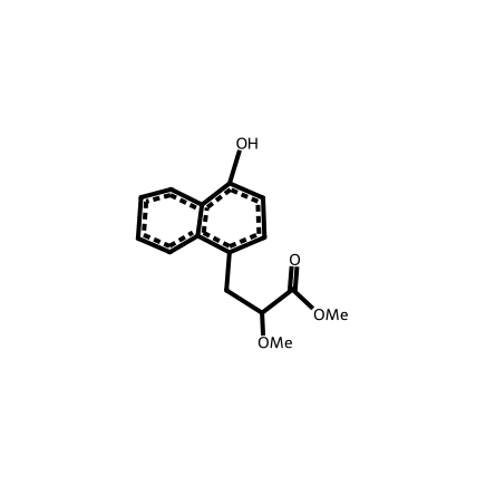 COC(=O)C(Cc1ccc(O)c2ccccc12)OC